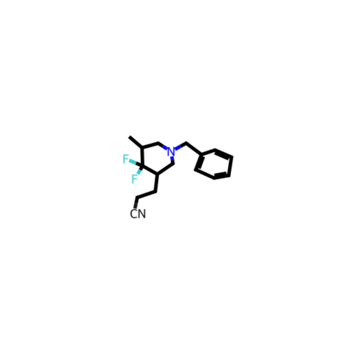 CC1CN(Cc2ccccc2)CC(CCC#N)C1(F)F